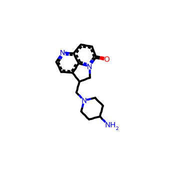 NC1CCN(CC2Cn3c(=O)ccc4nccc2c43)CC1